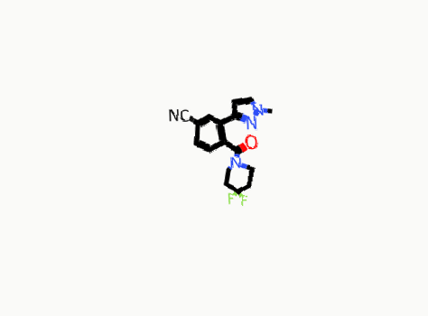 Cn1ccc(-c2cc(C#N)ccc2C(=O)N2CCC(F)(F)CC2)n1